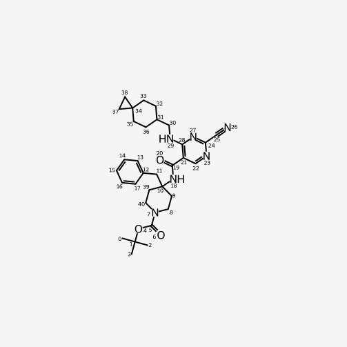 CC(C)(C)OC(=O)N1CCC(Cc2ccccc2)(NC(=O)c2cnc(C#N)nc2NCC2CCC3(CC2)CC3)CC1